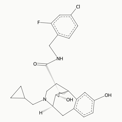 O=C(NCc1ccc(Cl)cc1F)[C@@H]1C[C@]23CCN(CC4CC4)[C@H](Cc4ccc(O)cc42)[C@]3(O)C1